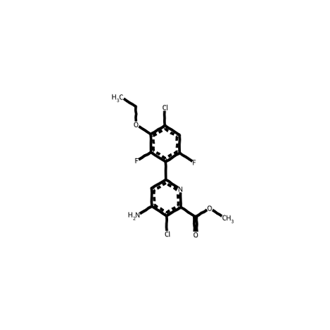 CCOc1c(Cl)cc(F)c(-c2cc(N)c(Cl)c(C(=O)OC)n2)c1F